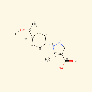 CC[C@]1(C(C)=O)CC[C@H](n2ncc(C(=O)O)c2C)CC1